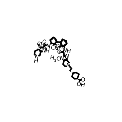 Cn1c(C(=O)Nc2cccc(C3=CC=CC(NC(=O)c4nc5c(n4C)CCNC5)C3(C)C)c2Cl)nc2c1CCN(CC[C@H]1CC[C@H](C(=O)O)CC1)C2